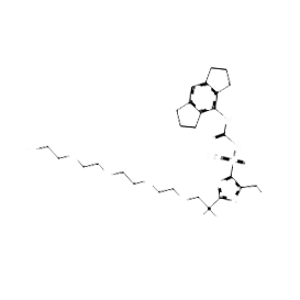 CC(O)(COCCOCCOCCOCCO)c1nc(CO)c(S(=N)(=O)NC(=O)Nc2c3c(cc4c2CCC4)CCC3)s1